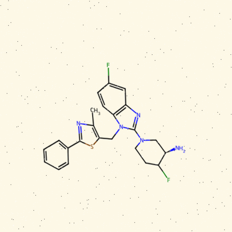 Cc1nc(-c2ccccc2)sc1Cn1c(N2CCC(F)[C@H](N)C2)nc2cc(F)ccc21